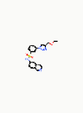 CCOCc1cn(-c2cccc(S(=O)(=O)Nc3ccc4cnccc4c3)c2)nn1